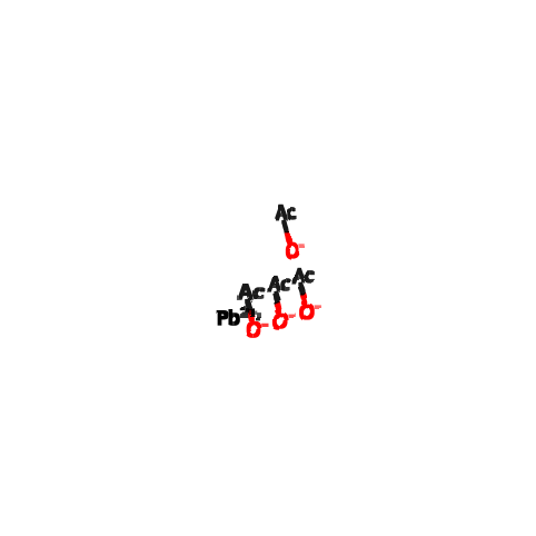 CC(=O)[O-].CC(=O)[O-].CC(=O)[O-].CC(=O)[O-].[Pb+2]